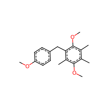 COc1ccc(Cc2c(C)c(OC)c(C)c(C)c2OC)cc1